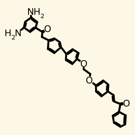 Nc1cc(N)cc(C(=O)Cc2ccc(-c3ccc(OCCOc4ccc(/C=C/C(=O)c5ccccc5)cc4)cc3)cc2)c1